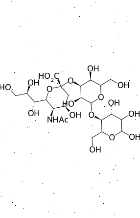 CC(=O)N[C@H]1C([C@H](O)[C@H](O)CO)O[C@@](O[C@@H]2[C@H](O)C(O[C@@H]3C(CO)OC(O)C(O)[C@H]3O)OC(CO)[C@@H]2O)(C(=O)O)C[C@H]1O